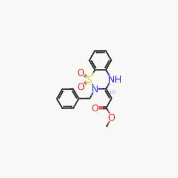 COC(=O)/C=C1/Nc2ccccc2S(=O)(=O)N1Cc1ccccc1